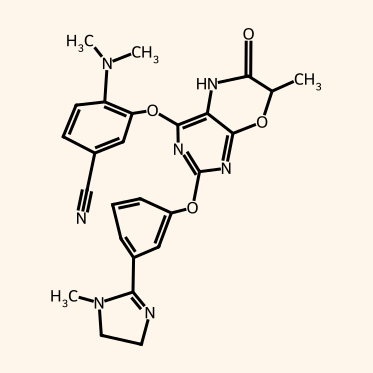 CC1Oc2nc(Oc3cccc(C4=NCCN4C)c3)nc(Oc3cc(C#N)ccc3N(C)C)c2NC1=O